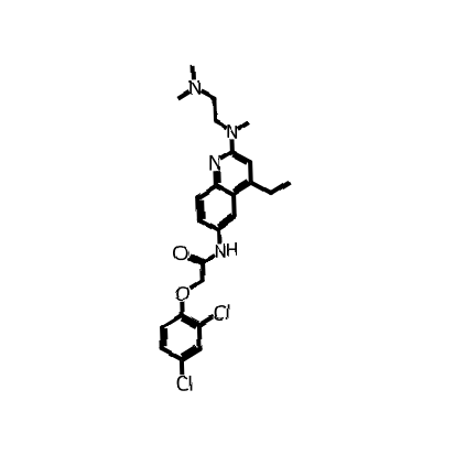 CCc1cc(N(C)CCN(C)C)nc2ccc(NC(=O)COc3ccc(Cl)cc3Cl)cc12